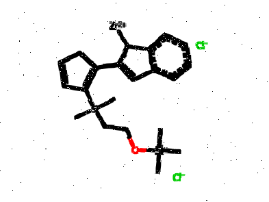 C[Si](C)(C)OCC[Si](C)(C)C1=C(C2=Cc3ccccc3[CH]2[Zr+2])CC=C1.[Cl-].[Cl-]